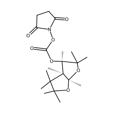 CC1(C)O[C@]2(C)OC(C)(C)[C@](C)(OC(=O)ON3C(=O)CCC3=O)[C@]2(C)C1(C)C